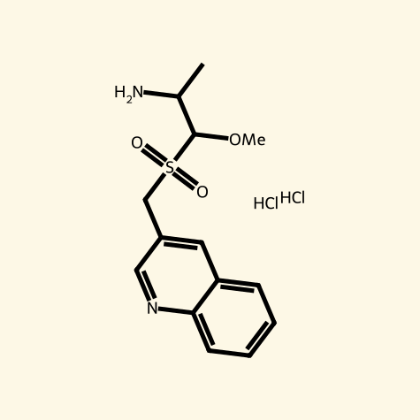 COC(C(C)N)S(=O)(=O)Cc1cnc2ccccc2c1.Cl.Cl